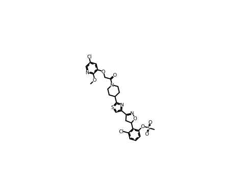 COc1ncc(Cl)cc1OCC(=O)N1CCC(c2nc(C3=NOC(c4c(Cl)cccc4OS(C)(=O)=O)C3)cs2)CC1